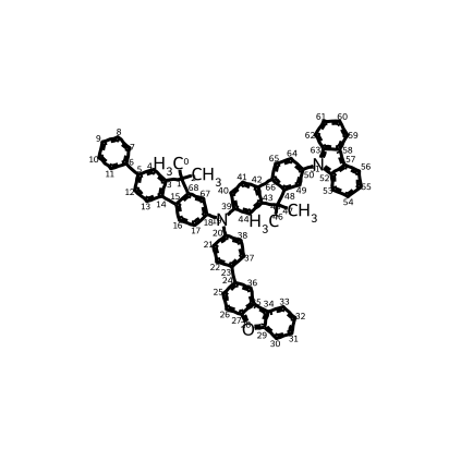 CC1(C)c2cc(-c3ccccc3)ccc2-c2ccc(N(c3ccc(-c4ccc5oc6ccccc6c5c4)cc3)c3ccc4c(c3)C(C)(C)c3cc(-n5c6ccccc6c6ccccc65)ccc3-4)cc21